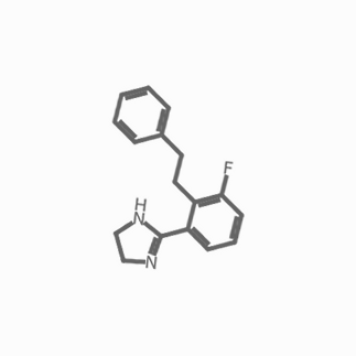 Fc1cccc(C2=NCCN2)c1CCc1ccccc1